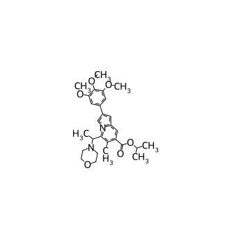 COc1cc(-c2cc3cc(C(=O)OC(C)C)c(C)c(C(C)N4CCOCC4)n3c2)cc(OC)c1OC